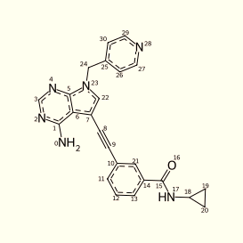 Nc1ncnc2c1c(C#Cc1cccc(C(=O)NC3CC3)c1)cn2Cc1ccncc1